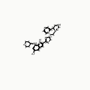 Clc1cc(NC2CCOCC2)c2[nH]c(C3=N[C@H](CCN4CCNCC4c4cnccn4)CS3)cc2c1